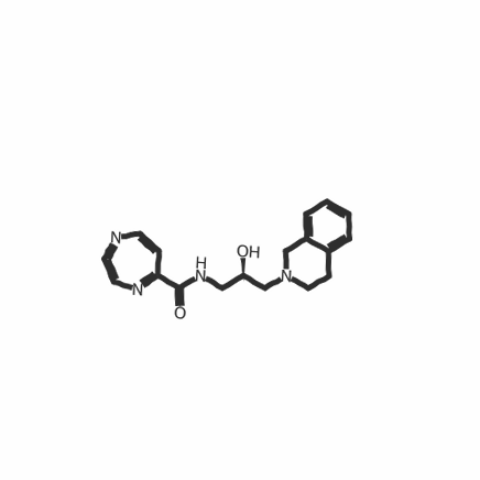 O=C(NC[C@@H](O)CN1CCc2ccccc2C1)C1=NC=C=NC=C1